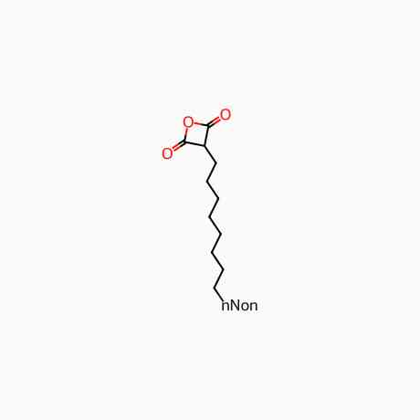 CCCCCCCCCCCCCCCCCC1C(=O)OC1=O